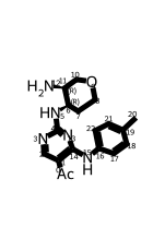 CC(=O)c1cnc(N[C@@H]2CCOC[C@@H]2N)nc1Nc1ccc(C)cc1